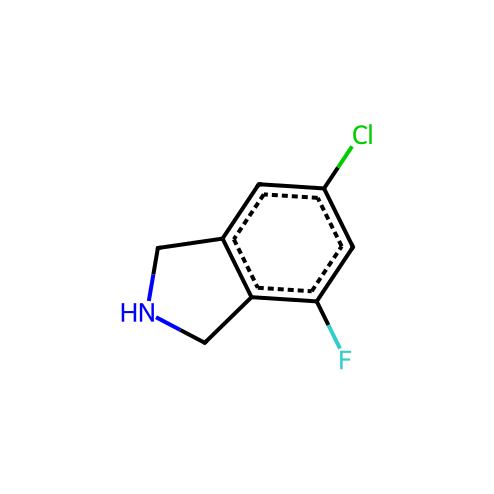 Fc1cc(Cl)cc2c1CNC2